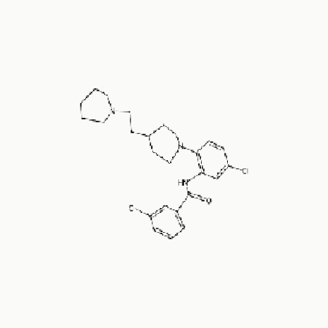 O=C(Nc1cc(Cl)ccc1N1CCC(CCN2CCCCC2)CC1)c1cccc(Cl)c1